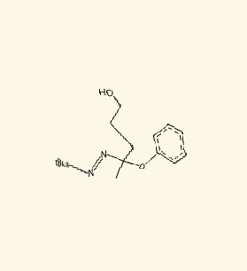 CC(C)(C)/N=N/C(C)(CCCO)Oc1ccccc1